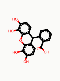 O=C(O)c1ccccc1C1c2ccc(O)c(O)c2Oc2c1ccc(O)c2O